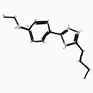 CCCCc1nnc(-c2ccc(OCC)cc2)s1